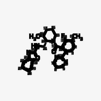 Cc1ccc(-c2ncccn2)c(C(=O)N2CCC[C@@H](C)[C@H]2CNc2nc3ccccc3o2)c1F